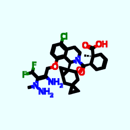 CN(N)/C(=C(\N)COc1ccc(Cl)c2c1C([C@]13CC1CC1(CC1)CC3=O)N(C(=O)[C@@H]1CC=CC[C@]1(C)C(=O)O)CC2)C(F)F